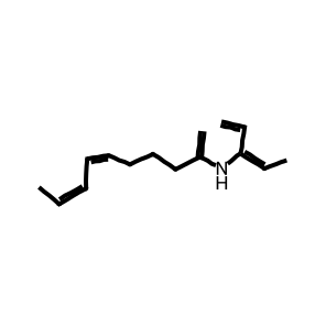 C=C/C(=C\C)NC(=C)CCC/C=C\C=C/C